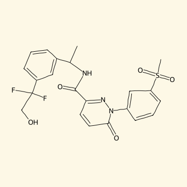 CC(NC(=O)c1ccc(=O)n(-c2cccc(S(C)(=O)=O)c2)n1)c1cccc(C(F)(F)CO)c1